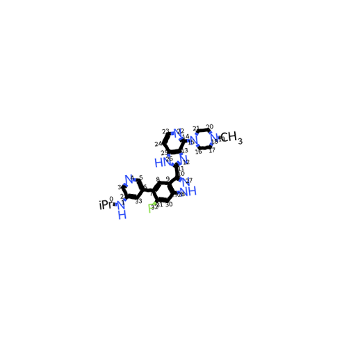 CC(C)Nc1cncc(-c2cc3c(-c4nc5c(N6CCN(C)CC6)nccc5[nH]4)n[nH]c3cc2F)c1